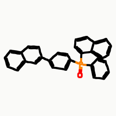 O=P(c1ccccc1)(c1ccc(-c2ccc3ccccc3c2)cc1)c1cccc2ccccc12